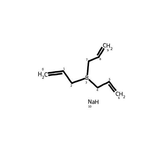 C=CCB(CC=C)CC=C.[NaH]